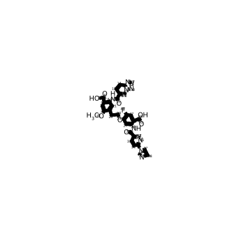 COc1cc(C(=O)O)c(NC(=O)c2ccc3nnnn3n2)cc1CCOc1cc(NC(=O)c2ccc(-n3ccnc3)nn2)c(C(=O)O)cc1F